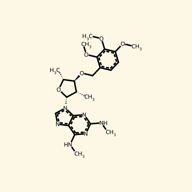 CNc1nc(NC)c2ncn([C@@H]3O[C@H](C)[C@@H](OCc4ccc(OC)c(OC)c4OC)[C@@H]3C)c2n1